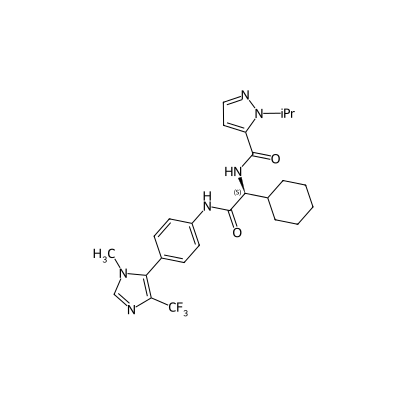 CC(C)n1nccc1C(=O)N[C@H](C(=O)Nc1ccc(-c2c(C(F)(F)F)ncn2C)cc1)C1CCCCC1